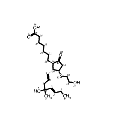 CC/C=C/C(C)(O)C/C=C/[C@H]1[C@H](SCCO)CC(=O)[C@@H]1CCCCCCC(=O)O